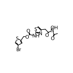 CC(=O)N(O)C(=O)Cc1csc(NC(=O)OCc2cc(Br)cs2)n1